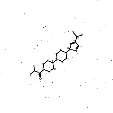 CC(C)C(=O)C1CCC(N2CCC(n3cc(C(C)C)cn3)CC2)CC1